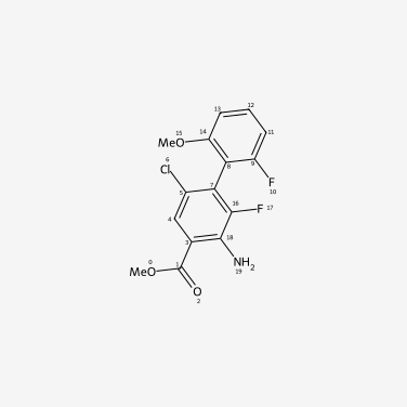 COC(=O)c1cc(Cl)c(-c2c(F)cccc2OC)c(F)c1N